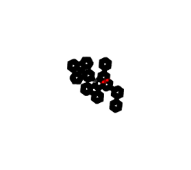 c1ccc(-c2cccc(-c3cccc(-c4c(N(c5ccc(C6(c7ccccc7)c7ccccc7-c7ccccc76)cc5)c5cccc(-c6ccccc6)c5)c5ccccc5c5ccccc45)c3)c2)cc1